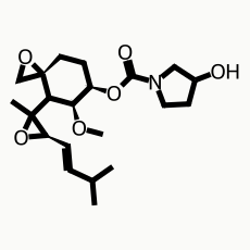 CO[C@H]1C(C2(C)O[C@@H]2/C=C/C(C)C)[C@]2(CC[C@H]1OC(=O)N1CCC(O)C1)CO2